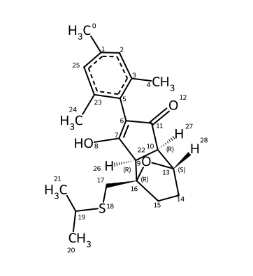 Cc1cc(C)c(C2=C(O)[C@H]3[C@@H](C2=O)[C@@H]2CC[C@@]3(CSC(C)C)O2)c(C)c1